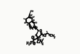 CCOC(=O)[C@@](C)(CCn1cc2cc(I)ccc2n1)S(C)(=O)=O